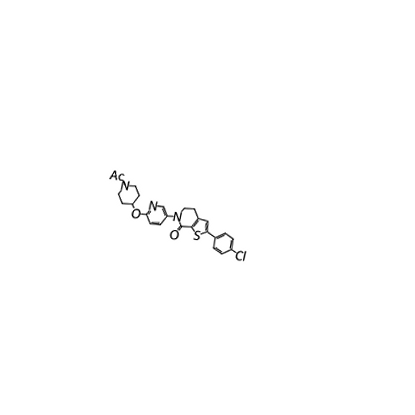 CC(=O)N1CCC(Oc2ccc(N3CCc4cc(-c5ccc(Cl)cc5)sc4C3=O)cn2)CC1